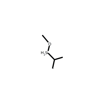 [CH2]C(C)[SiH2]OC